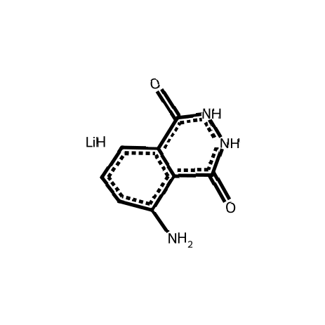 Nc1cccc2c(=O)[nH][nH]c(=O)c12.[LiH]